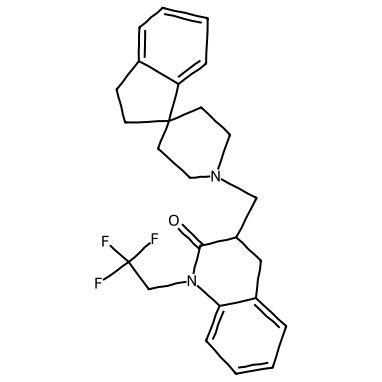 O=C1C(CN2CCC3(CCc4ccccc43)CC2)Cc2ccccc2N1CC(F)(F)F